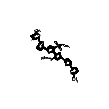 CCCCCCCCCCSc1cc(-c2ccc(-c3ccc(C)s3)s2)sc1-c1sc(-c2ccc(-c3ccc(C)s3)s2)cc1S(=O)(=O)CCCCCCCCCC